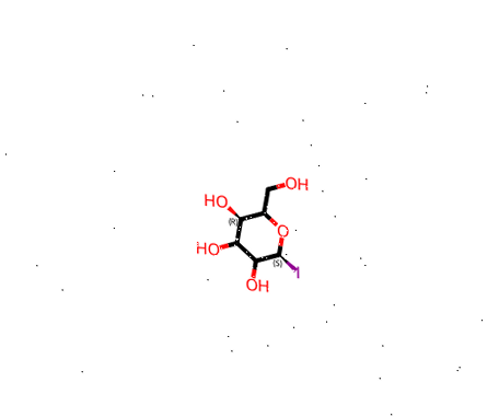 OCC1O[C@@H](I)C(O)C(O)[C@H]1O